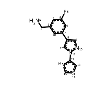 NCc1cc(F)cc(-c2cnn(-c3cscn3)c2)c1